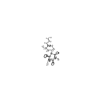 CCCCN1CCC(C2C(=O)N(C)C(=O)N(C)C2=O)CC1C